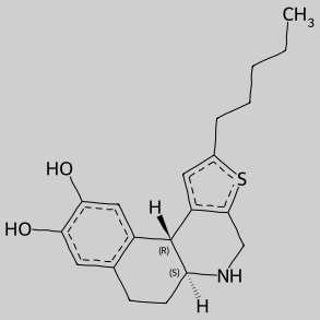 CCCCCc1cc2c(s1)CN[C@H]1CCc3cc(O)c(O)cc3[C@H]21